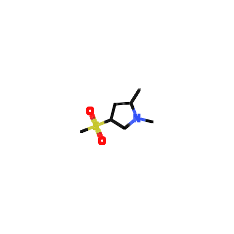 CC1CC(S(C)(=O)=O)CN1C